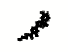 CSCCNC(=O)c1ccc(C2=CCC(c3ccc(F)c(Cl)c3)(C(F)(F)F)C2)cc1C